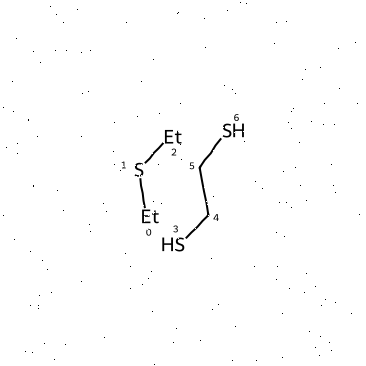 CCSCC.SCCS